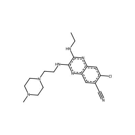 CCNc1nc2cc(Cl)c(C#N)cc2nc1NCCN1CCN(C)CC1